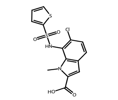 Cn1c(C(=O)O)cc2ccc(Cl)c(NS(=O)(=O)c3cccs3)c21